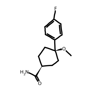 CO[C@]1(c2ccc(F)cc2)CC[C@H](C(N)=O)CC1